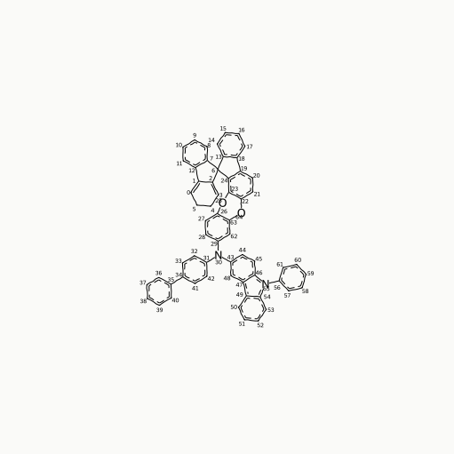 C1=C2C(=CCC1)C1(c3ccccc32)c2ccccc2-c2ccc3c(c21)Oc1ccc(N(c2ccc(-c4ccccc4)cc2)c2ccc4c(c2)c2ccccc2n4-c2ccccc2)cc1O3